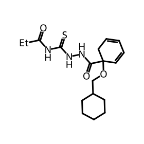 CCC(=O)NC(=S)NNC(=O)C1(OCC2CCCCC2)C=CC=CC1